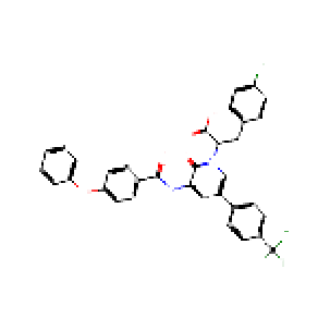 O=C(Nc1cc(-c2ccc(C(F)(F)F)cc2)cn(C(Cc2ccc(Cl)cc2)C(=O)O)c1=O)c1ccc(Oc2ccccc2)cc1